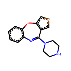 c1ccc2c(c1)N=C(N1CCNCC1)c1cscc1O2